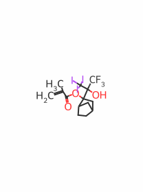 C=C(C)C(=O)OC1(C(O)(C(F)(F)F)C(I)(I)I)CC2CCC1C2